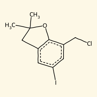 CC1(C)Cc2cc(I)cc(CCl)c2O1